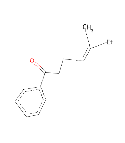 CCC(C)=CCCC(=O)c1ccccc1